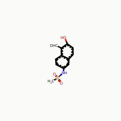 CS(=O)(=O)Nc1ccc2c(C=O)c(O)ccc2c1